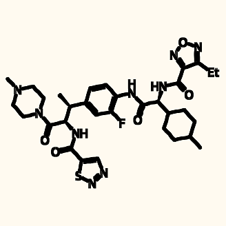 CCc1nonc1C(=O)N[C@H](C(=O)Nc1ccc([C@H](C)[C@@H](NC(=O)c2cnns2)C(=O)N2CCN(C)CC2)cc1F)C1CCC(C)CC1